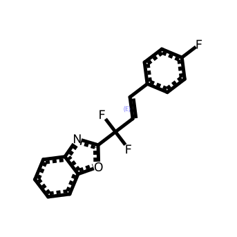 Fc1ccc(/C=C/C(F)(F)c2nc3ccccc3o2)cc1